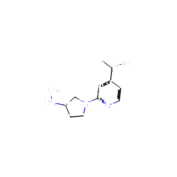 CC(C)[C@H](C)c1ccnc(N2CCC(NC(C)(C)C)C2)c1